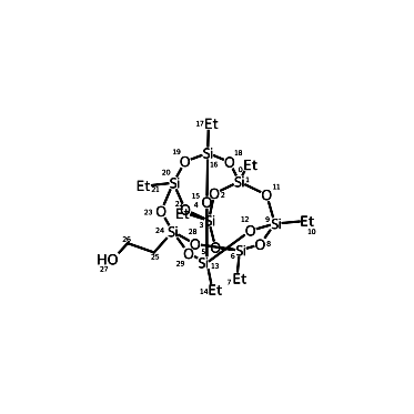 CC[Si]12O[Si]3(CC)O[Si]4(CC)O[Si](CC)(O1)O[Si]1(CC)O[Si](CC)(O2)O[Si](CC)(O3)O[Si](CCO)(O4)O1